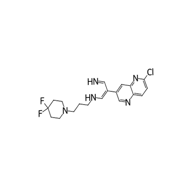 N=C/C(=C\NCCCN1CCC(F)(F)CC1)c1cnc2ccc(Cl)nc2c1